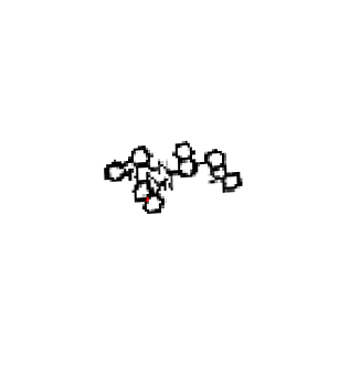 c1ccc(-c2nc(-c3ccc(-c4cccc5c4sc4ccccc45)c4ccccc34)nc(-c3cccc4c5ccccc5n(-c5ccccc5)c34)n2)cc1